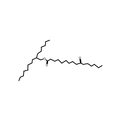 CCCCCCCCC(CCCCCC)COC(=O)CCCCCCCCC(=O)CCCCCC